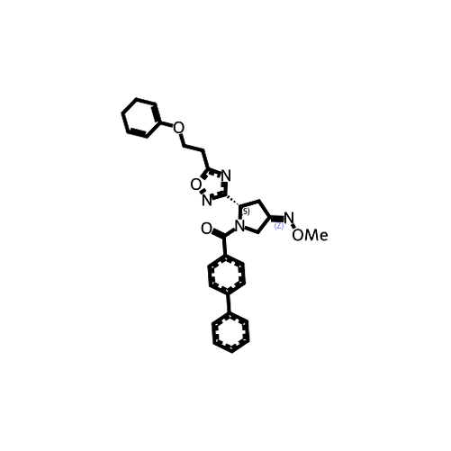 CO/N=C1/C[C@@H](c2noc(CCOC3=CCCC=C3)n2)N(C(=O)c2ccc(-c3ccccc3)cc2)C1